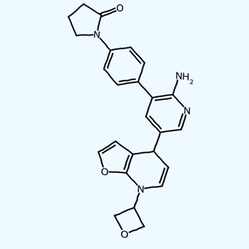 Nc1ncc(C2C=CN(C3COC3)c3occc32)cc1-c1ccc(N2CCCC2=O)cc1